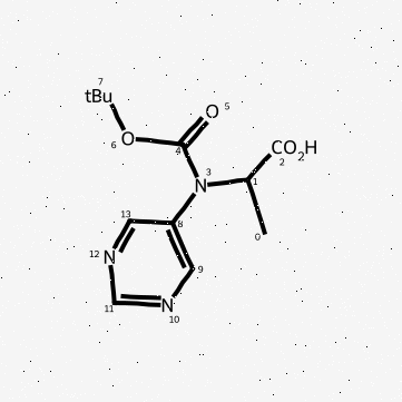 CC(C(=O)O)N(C(=O)OC(C)(C)C)c1cncnc1